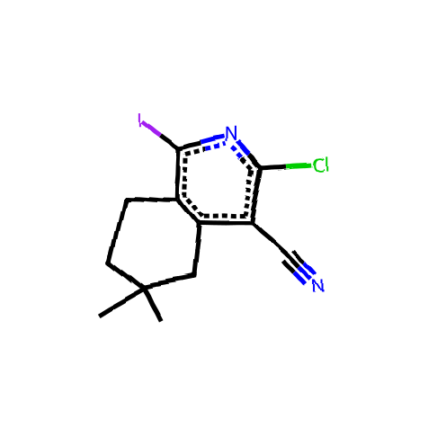 CC1(C)CCc2c(I)nc(Cl)c(C#N)c2C1